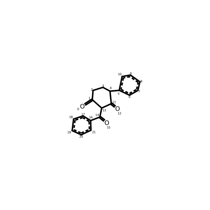 O=C1CCC(c2ccccc2)C(=O)C1C(=O)c1ccccc1